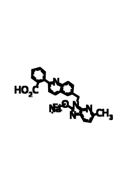 CCOc1nc2ccc(C)nc2n1Cc1ccc2nc(-c3ccccc3C(=O)O)ccc2c1.[Na]